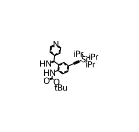 CC(C)[Si](C#Cc1ccc(NC(=O)OC(C)(C)C)c(C(=N)c2ccncc2)c1)(C(C)C)C(C)C